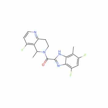 Cc1c(F)cc(F)c2nc(C(=O)N3CCc4nccc(F)c4C3C)[nH]c12